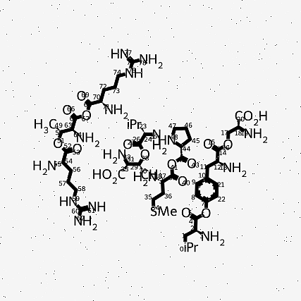 CC(C)C[C@H](N)C(=O)Oc1ccc(C[C@H](N)C(=O)OC[C@H](N)C(=O)O)cc1.CC(C)[C@H](N)C(=O)O[C@H](C)[C@H](N)C(=O)O.CSCC[C@H](N)C(=O)OC(=O)[C@@H]1CCCN1.C[C@@H](OC(=O)[C@@H](N)CCCNC(=N)N)[C@H](N)C(=O)OC(=O)[C@@H](N)CCCNC(=N)N